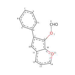 O=COc1c(-c2ccccc2)cc2cccoc1-2